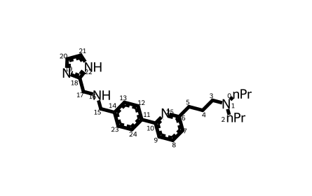 CCCN(CCC)CCCc1cccc(-c2ccc(CNCc3ncc[nH]3)cc2)n1